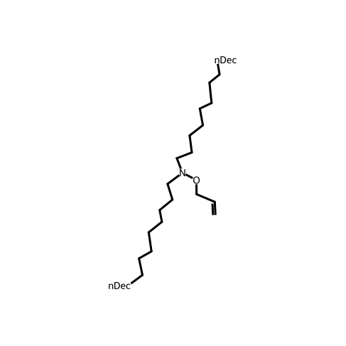 C=CCON(CCCCCCCCCCCCCCCCCC)CCCCCCCCCCCCCCCCCC